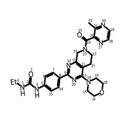 CCNC(=O)Nc1ccc(-c2nc3c(c(N4CCOCC4)n2)CCN(C(=O)c2nccnc2C)C3)cc1